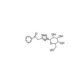 O=C(Cc1nnn(C2OC(CO)C(O)C(O)C2O)n1)c1ccccc1